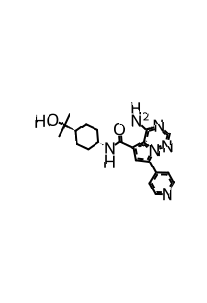 CC(C)(O)[C@H]1CC[C@H](NC(=O)c2cc(-c3ccncc3)n3ncnc(N)c23)CC1